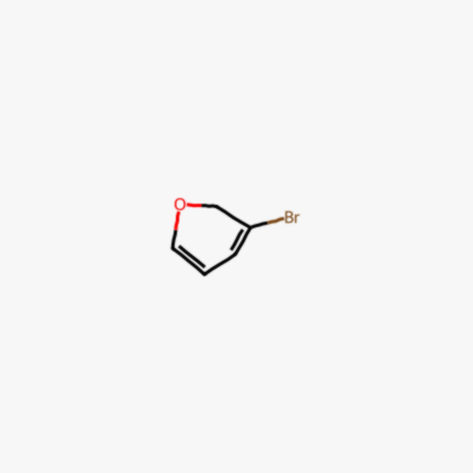 BrC1=CC=COC1